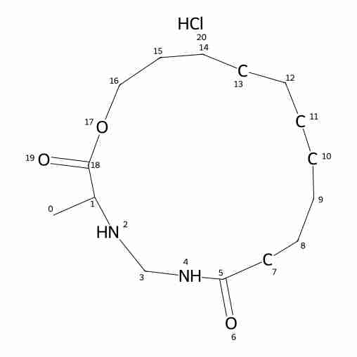 CC1NCNC(=O)CCCCCCCCCCOC1=O.Cl